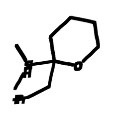 C[C](C)CC1([SiH](C)C)CCCCO1